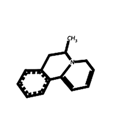 CC1Cc2ccccc2C2=CC=CCN21